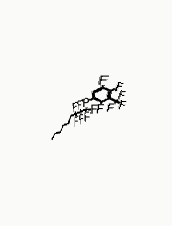 CCCCCCC(F)(F)C(F)(F)C(F)(F)P(C)c1cc(F)c(F)c(C(F)(F)F)c1F